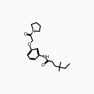 CCC(C)(C)CCC(=O)Nc1cccc(OCC(=O)N2CCCC2)c1